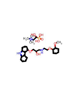 COc1ccccc1OCCNCC(O)COc1cccc2[nH]c3ccccc3c12.C[N+](C)(C)CC(O)P(=O)(O)O